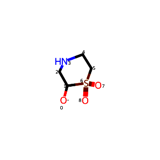 [O]C1CNCCS1(=O)=O